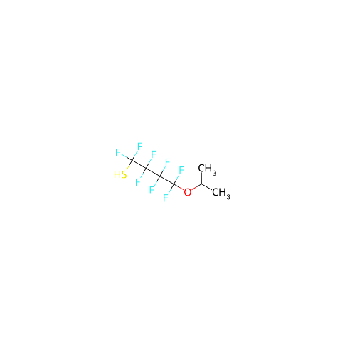 CC(C)OC(F)(F)C(F)(F)C(F)(F)C(F)(F)S